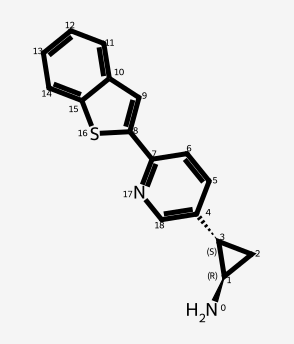 N[C@@H]1C[C@H]1c1ccc(-c2cc3ccccc3s2)nc1